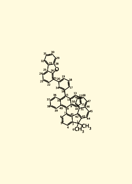 CC1(C)c2cccc(-c3c4ccccc4c(-c4cccc(-c5cccc6c5oc5ccccc56)c4)c4ccccc34)c2-c2c1ccc1ccccc21